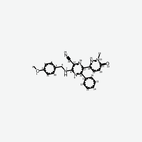 COc1ccc(CNc2nc(-c3ccccc3)c(-c3ccc(=O)n(C)n3)nc2C#N)cc1